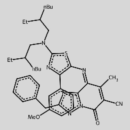 CCCCC(CC)CN(CC(CC)CCCC)c1nc(-c2cccc(OC)c2)c(/N=C2/C(C)=C(C#N)C(=O)n3nc(Cc4ccccc4)nc32)s1